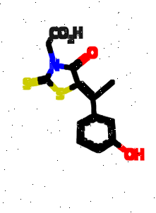 CC(=C1SC(=S)N(CC(=O)O)C1=O)c1cccc(O)c1